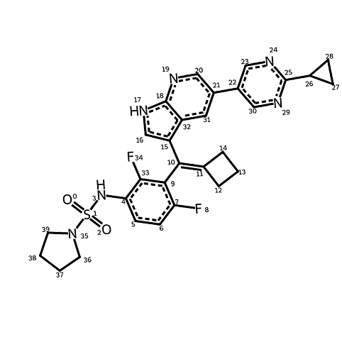 O=S(=O)(Nc1ccc(F)c(C(=C2CCC2)c2c[nH]c3ncc(-c4cnc(C5CC5)nc4)cc23)c1F)N1CCCC1